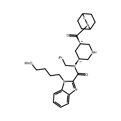 COCCCCn1c(C(=O)N(CC(C)C)[C@@H]2CNC[C@H](C(=O)N3CC4CCC3CC4)C2)nc2ccccc21